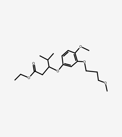 CCOC(=O)CC(Oc1ccc(OC)c(OCCCOC)c1)C(C)C